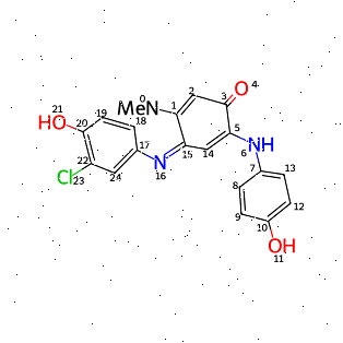 CNC1=CC(=O)C(Nc2ccc(O)cc2)=C/C1=N/c1ccc(O)c(Cl)c1